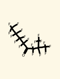 O=C(C(F)(F)C(F)(F)C(F)(F)C(F)(F)F)C(F)(F)C(F)(C(F)(F)F)C(F)(F)F